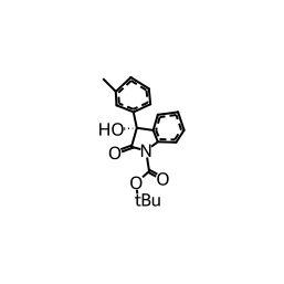 Cc1cccc([C@]2(O)C(=O)N(C(=O)OC(C)(C)C)c3ccccc32)c1